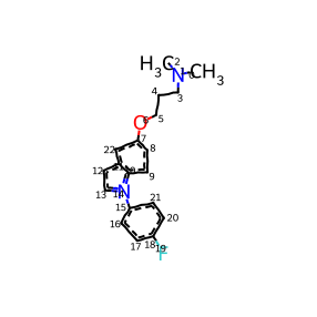 CN(C)CCCOc1ccc2c(ccn2-c2ccc(F)cc2)c1